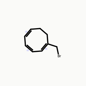 BrC/C1=C/C=C\C=C/CC1